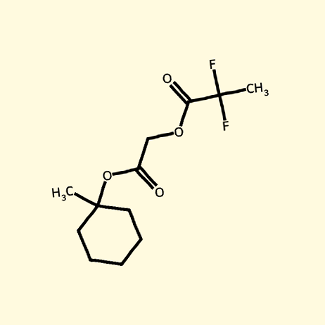 CC1(OC(=O)COC(=O)C(C)(F)F)CCCCC1